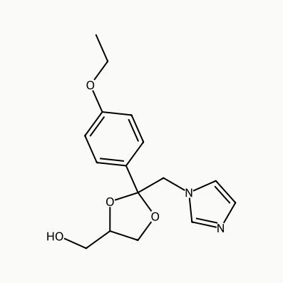 CCOc1ccc(C2(Cn3ccnc3)OCC(CO)O2)cc1